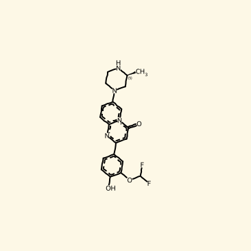 C[C@H]1CN(c2ccc3nc(-c4ccc(O)c(OC(F)F)c4)cc(=O)n3c2)CCN1